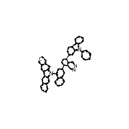 c1ccc(-n2c3ccccc3c3ccc(-c4ccc(-c5cc(-n6c7cc8ccccc8cc7c7cc8ccccc8cc76)c6ccccc6c5)c5cnncc45)cc32)cc1